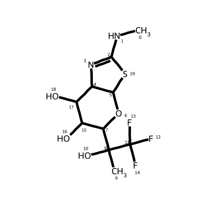 CNC1=NC2C(OC(C(C)(O)C(F)(F)F)C(O)C2O)S1